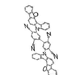 N#Cc1cc(C#N)c(-n2c3ccccc3c3c4oc5ccccc5c4ccc32)cc1-c1cc(-n2c3ccccc3c3c4oc5ccccc5c4ccc32)c(C#N)cc1C#N